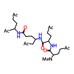 CNC(CCC(C)=O)C(=O)NC(CCC(C)=O)C(=O)NC(CCC(=O)NC(CCC(C)=O)C(C)=O)CC(C)=O